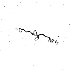 NC/C=C/C(=O)OCCCCO